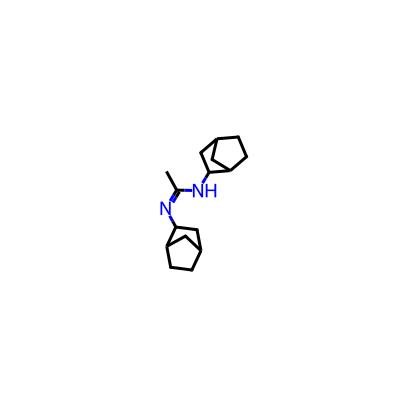 CC(=NC1CC2CCC1C2)NC1CC2CCC1C2